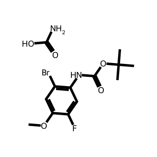 COc1cc(Br)c(NC(=O)OC(C)(C)C)cc1F.NC(=O)O